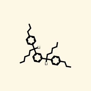 [Li][C](CCCCC)(c1ccc(CCC)cc1)c1cccc([C]([Li])(CCCCC)c2ccc(CCC)cc2)c1